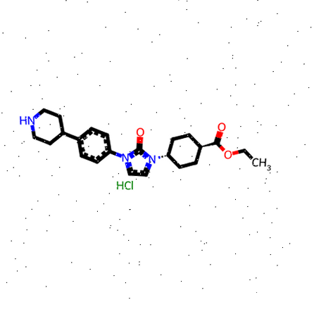 CCOC(=O)[C@H]1CC[C@H](n2ccn(-c3ccc(C4CCNCC4)cc3)c2=O)CC1.Cl